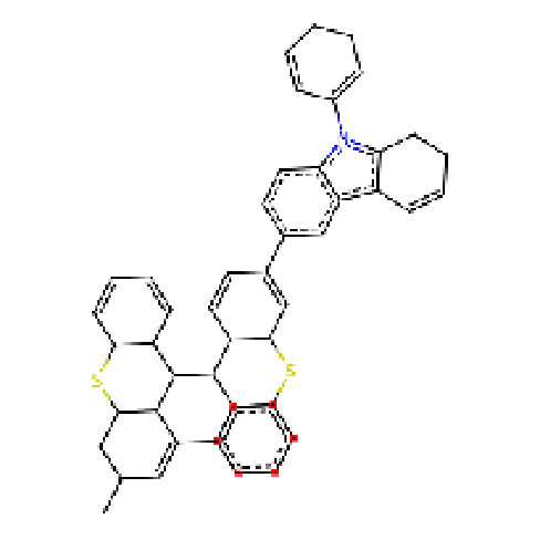 CC1C=C(c2ccccc2)C2C(C1)SC1C=CC=CC1C2C1C2=CCCC=C2SC2C=C(c3ccc4c(c3)c3c(n4C4=CCCC=C4)CCC=C3)C=CC21